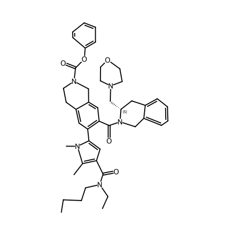 CCCCN(CC)C(=O)c1cc(-c2cc3c(cc2C(=O)N2Cc4ccccc4C[C@H]2CN2CCOCC2)CN(C(=O)Oc2ccccc2)CC3)n(C)c1C